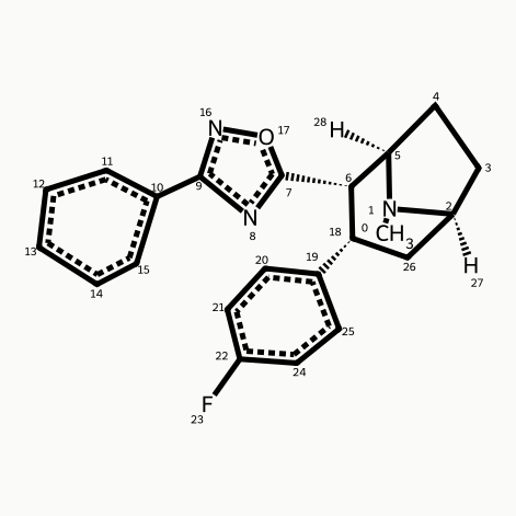 CN1[C@H]2CC[C@@H]1[C@@H](c1nc(-c3ccccc3)no1)[C@@H](c1ccc(F)cc1)C2